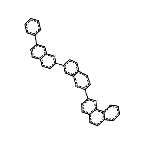 c1ccc(-c2ccc3ccc(-c4ccc5ccc(-c6ccc7ccc8ccccc8c7n6)nc5c4)nc3c2)cc1